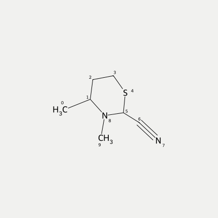 CC1CCSC(C#N)N1C